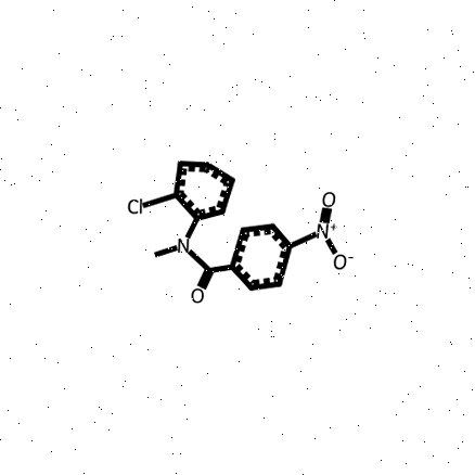 CN(C(=O)c1ccc([N+](=O)[O-])cc1)c1ccccc1Cl